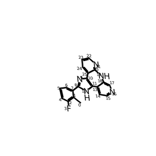 Cc1c(F)cccc1-c1nc2c([nH]1)-c1ccncc1Nc1ncccc1-2